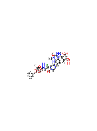 CCNC(=O)c1nnc(-c2cc(C(C)C)c(O)cc2O)n1-c1ccc(CN2CCN(C(=O)C(F)CNC(=O)O[C@@H](C)C(=O)OCc3ccccc3)CC2)cc1